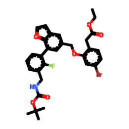 CCOC(=O)Cc1ccc(Br)cc1OCc1cc(-c2cccc(CNC(=O)OC(C)(C)C)c2F)c2occc2c1